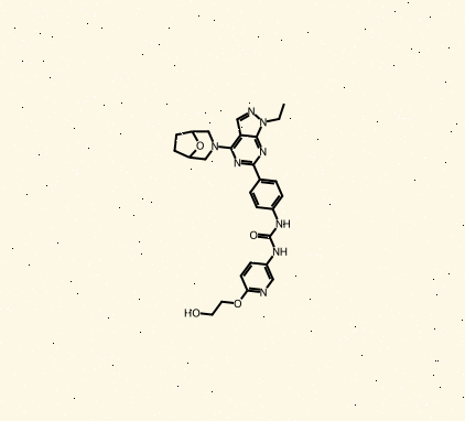 CCn1ncc2c(N3CC4CCC(C3)O4)nc(-c3ccc(NC(=O)Nc4ccc(OCCO)nc4)cc3)nc21